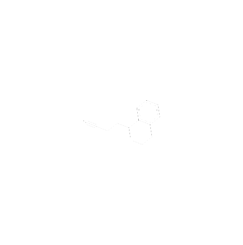 N#CCCC1OCCc2ccccc21